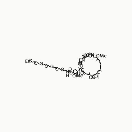 CCOCCOCCOCCOCCOCCOCCOCCNC(=O)O[C@@H]1CC[C@@H](C[C@@H](C)[C@@H]2C[C@@H](O)[C@H](C)/C=C(\C)[C@@H](O)[C@@H](O)C(=O)[C@H](C)C[C@H](C)/C=C/C=C/C=C(\C)[C@@H](OC)C[C@@H]3CC[C@@H](C)[C@@](O)(O3)C(=O)C(=O)N3CCCC[C@H]3C(=O)O2)C[C@H]1OC